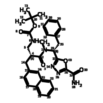 CN(C(=O)[C@@H](CNC(=O)OC(C)(C)C)Cc1ccc2ccccc2c1)[C@H](Cc1ccccc1)c1nnc(C(N)=O)o1